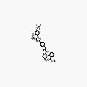 CNc1nc(-c2ccc(CNNC3SCCCN3c3ccccc3C(C)C)cc2)nn1-c1ccc(OC(F)(F)F)cc1